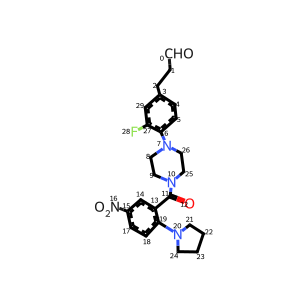 O=CCCc1ccc(N2CCN(C(=O)c3cc([N+](=O)[O-])ccc3N3CCCC3)CC2)c(F)c1